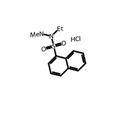 CCN(NC)S(=O)(=O)c1cccc2ccccc12.Cl